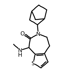 CNC1C(=O)N(C2CC3CCC2C3)CCc2ccsc21